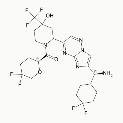 N[C@H](c1cn2ncc(C3CC(O)(C(F)(F)F)CCN3C(=O)[C@@H]3CCC(F)(F)CO3)nc2n1)C1CCC(F)(F)CC1